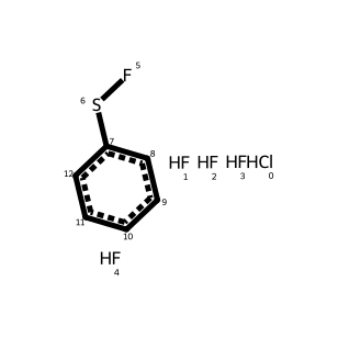 Cl.F.F.F.F.FSc1ccccc1